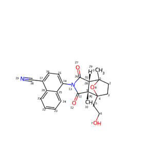 CC12CCC(CCO)(O1)[C@]1(C)C(=O)N(c3ccc(C#N)c4ccccc34)C(=O)[C@H]21